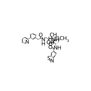 CC(C)C[C@H](NC(=O)c1ccc2ncsc2c1)C(=O)N[C@@H](C)C(O)CNC(=O)Cc1cccc(-c2ccccn2)c1